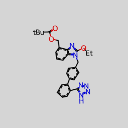 CCOc1nc2c(COC(=O)C(C)(C)C)cccc2n1Cc1ccc(-c2ccccc2-c2nnn[nH]2)cc1